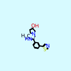 CN[C@H](CN1CC[C@H](O)C1)c1cccc(-c2cncs2)c1